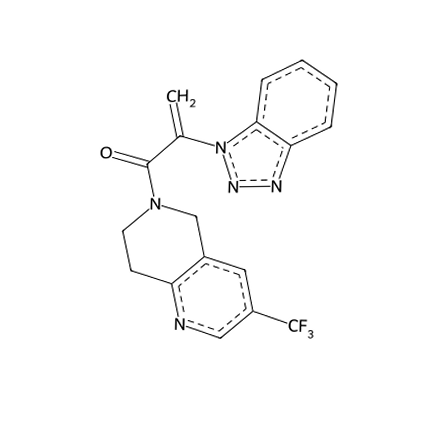 C=C(C(=O)N1CCc2ncc(C(F)(F)F)cc2C1)n1nnc2ccccc21